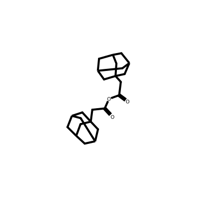 O=C(CC12CC3CC(CC(C3)C1)C2)OC(=O)CC12CC3CC(CC(C3)C1)C2